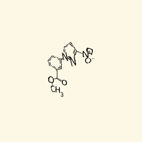 COC(=O)c1cccc(-n2ccc([N+](=O)[O-])n2)c1